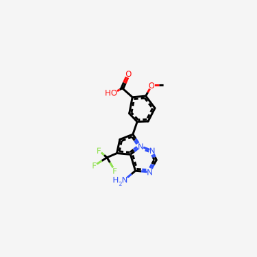 COc1ccc(-c2cc(C(F)(F)F)c3c(N)ncnn23)cc1C(=O)O